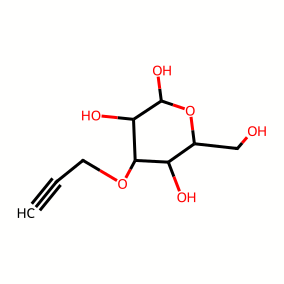 C#CCOC1C(O)C(O)OC(CO)C1O